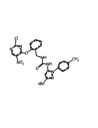 Cc1ccc(-n2nc(C(C)(C)C)cc2NC(=O)NCc2ccccc2Oc2nc(Cl)ncc2[N+](=O)[O-])cc1